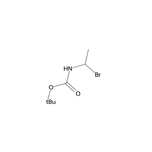 CC(Br)NC(=O)OC(C)(C)C